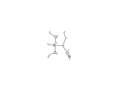 CCC(C#N)[Si](C)(OC)OC